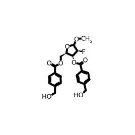 COC1O[C@H](COC(=O)c2ccc(CO)cc2)[C@@H](OC(=O)c2ccc(CO)cc2)[C@@H]1F